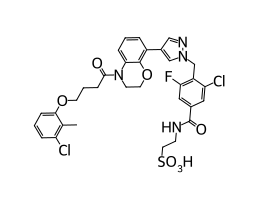 Cc1c(Cl)cccc1OCCCC(=O)N1CCOc2c(-c3cnn(Cc4c(F)cc(C(=O)NCCS(=O)(=O)O)cc4Cl)c3)cccc21